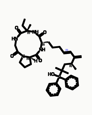 C=C(/C=C/CCC[C@@H]1NC(=O)[C@H]2CCCN2C(=O)CNC(=O)[C@](C)(CC)NC1=O)[C@@H](C)CC(C)(C)[Si](O)(c1ccccc1)c1ccccc1